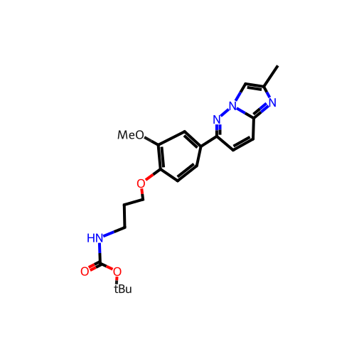 COc1cc(-c2ccc3nc(C)cn3n2)ccc1OCCCNC(=O)OC(C)(C)C